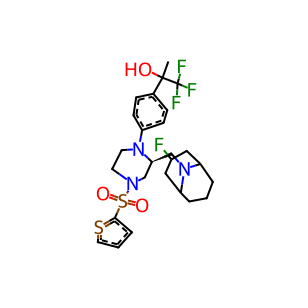 CC(O)(c1ccc(N2CCN(S(=O)(=O)c3cccs3)C[C@@H]2CN2C3CCCC2CC(F)C3)cc1)C(F)(F)F